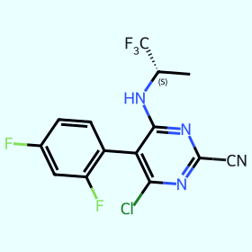 C[C@H](Nc1nc(C#N)nc(Cl)c1-c1ccc(F)cc1F)C(F)(F)F